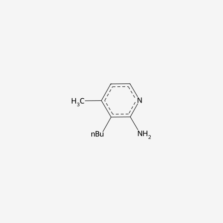 CCCCc1c(C)ccnc1N